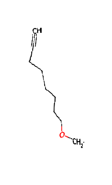 C#CCCCCCCO[CH2]